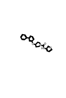 O=C(Nc1cccnc1)N1CCC(Oc2cccc(-c3ccccc3)c2)CC1